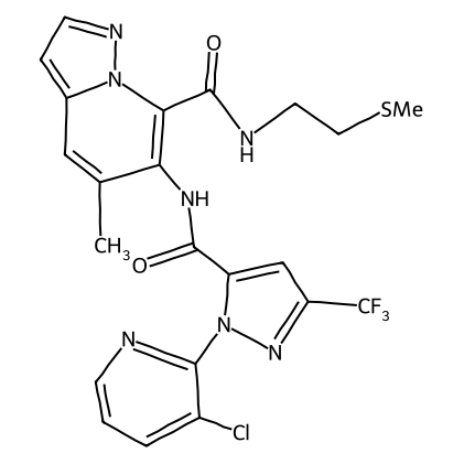 CSCCNC(=O)c1c(NC(=O)c2cc(C(F)(F)F)nn2-c2ncccc2Cl)c(C)cc2ccnn12